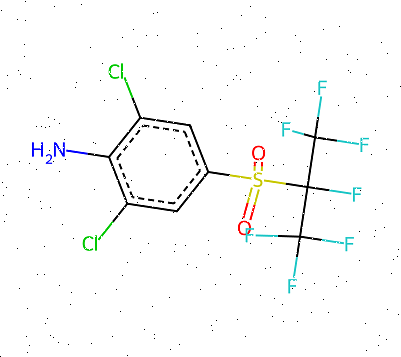 Nc1c(Cl)cc(S(=O)(=O)C(F)(C(F)(F)F)C(F)(F)F)cc1Cl